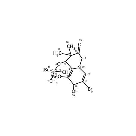 COC1=C2C(O[Si](C)(C)C(C)(C)C)C(C)(C)C(=O)CN2C=C(Br)C1O